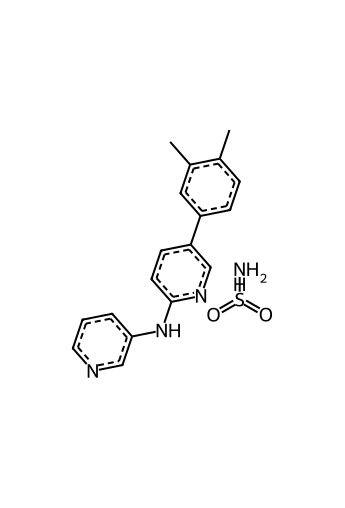 Cc1ccc(-c2ccc(Nc3cccnc3)nc2)cc1C.N[SH](=O)=O